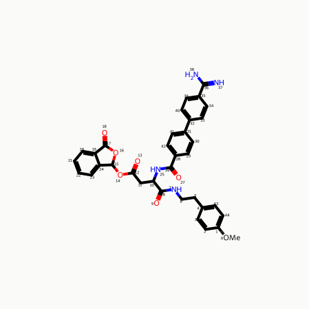 COc1ccc(CCNC(=O)C(CC(=O)OC2OC(=O)c3ccccc32)NC(=O)c2ccc(-c3ccc(C(=N)N)cc3)cc2)cc1